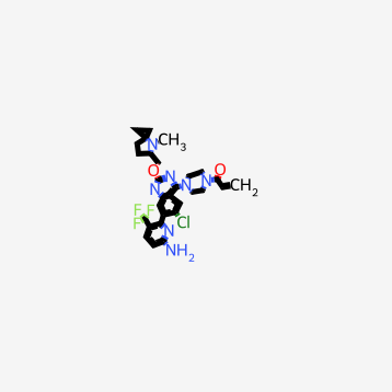 C=CC(=O)N1CCN(c2nc(OCC3CCC4(CC4)N3C)nc3cc(-c4nc(N)ccc4C(F)(F)F)c(Cl)cc23)CC1